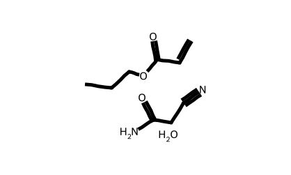 C=CC(=O)OCCC.N#CCC(N)=O.O